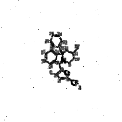 Cc1cc(C(F)(F)F)oc1CN1CCC(C)CC1(c1ccccc1)c1ccccc1